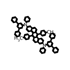 Cc1ccc(-c2c3ccc4cc(N(c5ccccc5)c5cc(-c6ccccc6)cc(-c6ccccc6)c5)ccc4c3c(-c3ccc(C)cc3)c3ccc4cc(N(c5ccccc5)c5cc(-c6ccccc6)cc(-c6ccccc6)c5)ccc4c23)cc1